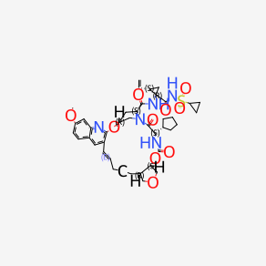 C=C[C@@H]1C[C@]1(NC(=O)[C@@H]1C[C@@H]2CN1C(=O)[C@H](C1CCCC1)NC(=O)O[C@@H]1COC[C@H]1CCC/C=C/c1cc3ccc(OC)cc3nc1O2)C(=O)NS(=O)(=O)C1CC1